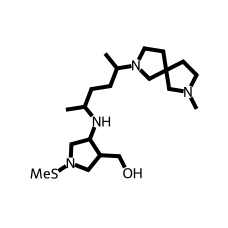 CSN1CC(CO)C(NC(C)CCC(C)N2CCC3(CCN(C)C3)C2)C1